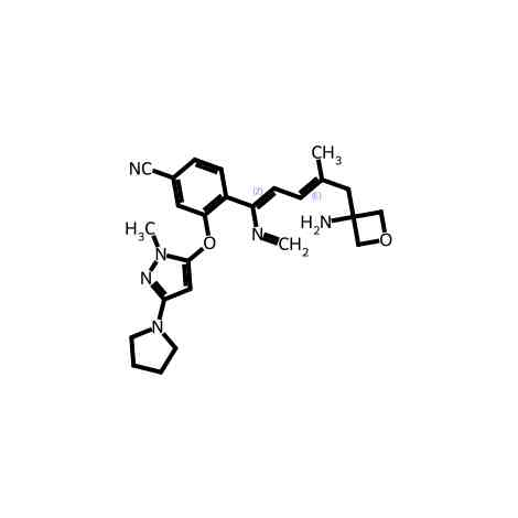 C=N/C(=C\C=C(/C)CC1(N)COC1)c1ccc(C#N)cc1Oc1cc(N2CCCC2)nn1C